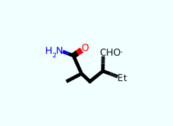 CCC([C]=O)CC(C)C(N)=O